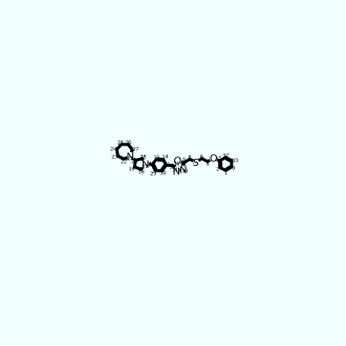 c1ccc(OCCSCc2nnc(-c3ccc(N4CCC(N5CCCCCC5)C4)cc3)o2)cc1